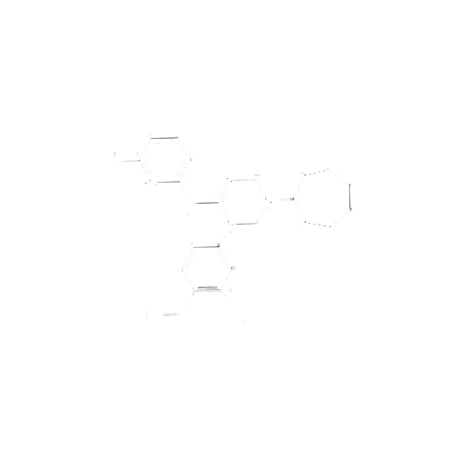 COc1ccc(N2CN(C3CCCCCC3)CN=C2Oc2cccc(C)n2)cc1Cl